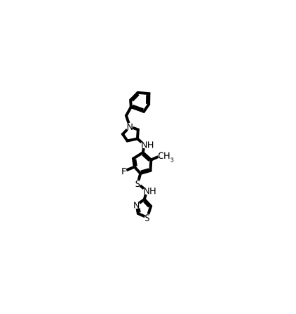 Cc1cc(SNc2cscn2)c(F)cc1NC1CCN(Cc2ccccc2)C1